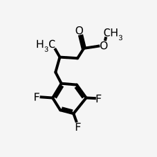 COC(=O)CC(C)Cc1cc(F)c(F)cc1F